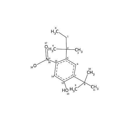 CCC(C)(C)c1cc(C(C)(C)C)c(O)cc1[N+](=O)[O-]